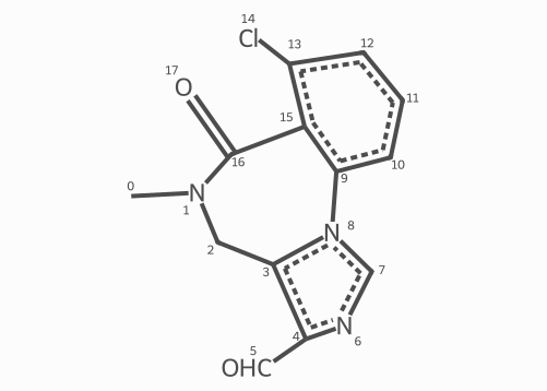 CN1Cc2c(C=O)ncn2-c2cccc(Cl)c2C1=O